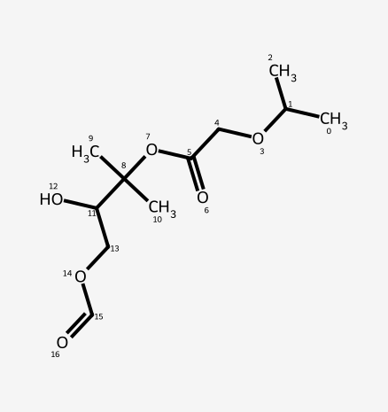 CC(C)OCC(=O)OC(C)(C)C(O)COC=O